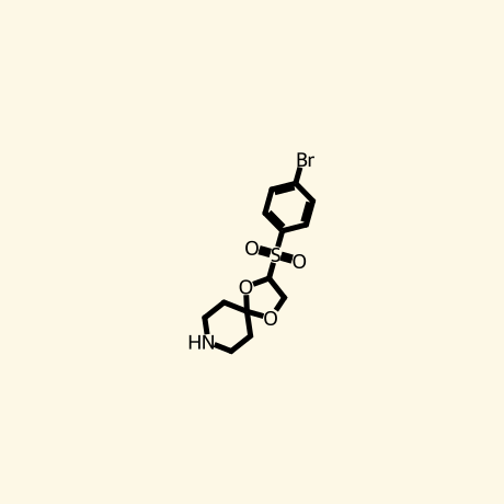 O=S(=O)(c1ccc(Br)cc1)C1COC2(CCNCC2)O1